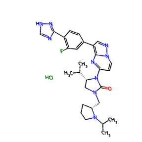 CC(C)[C@H]1CN(C[C@H]2CCCN2C(C)C)C(=O)N1c1ccn2ncc(-c3ccc(-c4nc[nH]n4)c(F)c3)c2n1.Cl